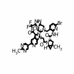 CC(=O)c1nn(CC(=O)N2[C@H](C(=O)Nc3nc(Br)ccc3CN3CCn4c(nnc4C(F)(F)F)C3)C[C@@]3(C)C[C@@H]23)c2cnc(-c3cnc(C)nc3)cc12